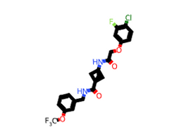 O=C(COc1ccc(Cl)c(F)c1)NC12CC(C(=O)NCc3cccc(OC(F)(F)F)c3)(C1)C2